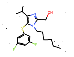 CCCCCCn1c(CO)nc(C(C)C)c1Sc1cc(F)cc(F)c1